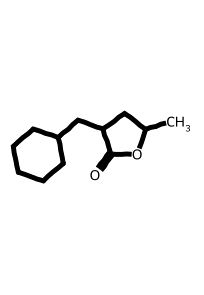 CC1CC(CC2CCCCC2)C(=O)O1